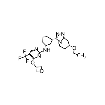 CCO[C@@H]1CCn2c(nnc2[C@H]2CCC[C@@H](Nc3ncc(C(F)(F)F)c(OC4COC4)n3)C2)C1